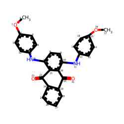 COc1ccc(Nc2ccc(Nc3ccc(OC)cc3)c3c2C(=O)c2ccccc2C3=O)cc1